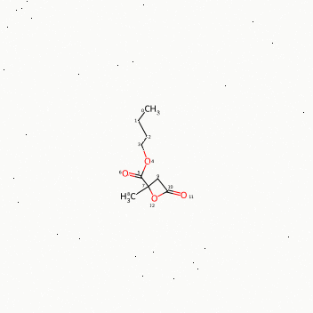 CCCCOC(=O)C1(C)CC(=O)O1